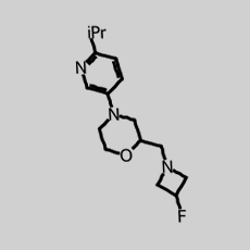 CC(C)c1ccc(N2CCOC(CN3CC(F)C3)C2)cn1